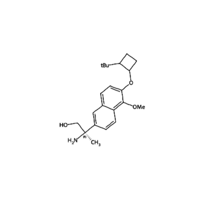 COc1c(OC2CCC2C(C)(C)C)ccc2cc([C@@](C)(N)CO)ccc12